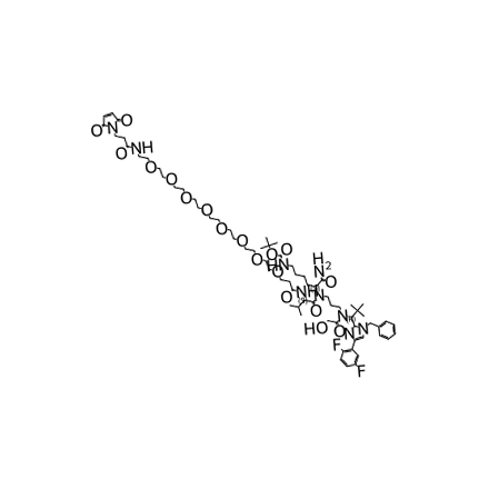 CC(C)[C@H](NC(=O)CCOCCOCCOCCOCCOCCOCCOCCOCCNC(=O)CCN1C(=O)C=CC1=O)C(=O)N(CCCN(C(=O)CO)[C@@H](c1nc(-c2cc(F)ccc2F)cn1Cc1ccccc1)C(C)(C)C)[C@@H](CCCCNC(=O)OC(C)(C)C)C(N)=O